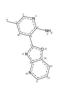 Cc1cnc(N)c(-c2nc3ncccc3o2)c1